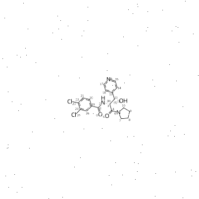 O=C(N[C@@H](C(=O)N1CCCC1)[C@@H](O)c1ccncc1)c1ccc(Cl)c(Cl)c1